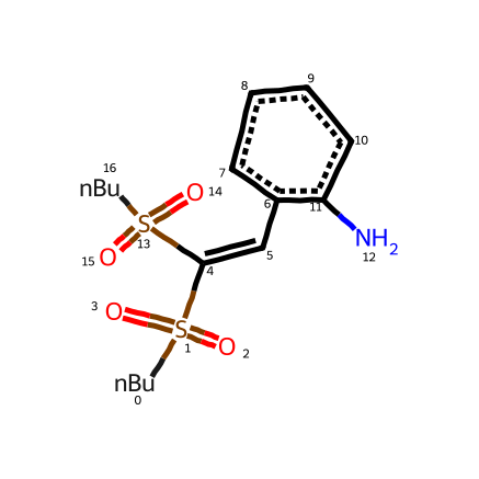 CCCCS(=O)(=O)C(=Cc1ccccc1N)S(=O)(=O)CCCC